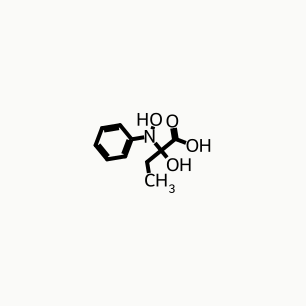 CCC(O)(C(=O)O)N(O)c1ccccc1